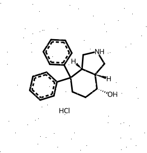 Cl.O[C@@H]1CCC(c2ccccc2)(c2ccccc2)[C@@H]2CNC[C@H]12